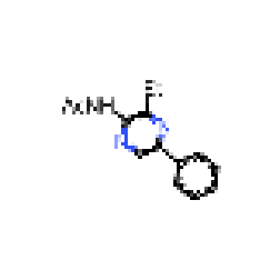 CCc1nc(-c2ccccc2)cnc1NC(C)=O